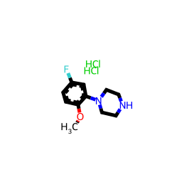 COc1ccc(F)cc1N1CCNCC1.Cl.Cl